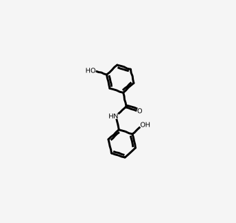 O=C(Nc1ccccc1O)c1cccc(O)c1